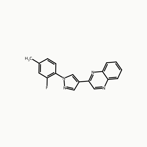 Cc1ccc(-n2cc(-c3cnc4ccccc4n3)cn2)c(F)c1